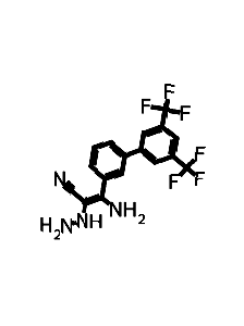 N#C/C(NN)=C(/N)c1cccc(-c2cc(C(F)(F)F)cc(C(F)(F)F)c2)c1